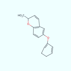 O=C(O)C1C=Cc2cc(OC3=CCCC=C3)ccc2O1